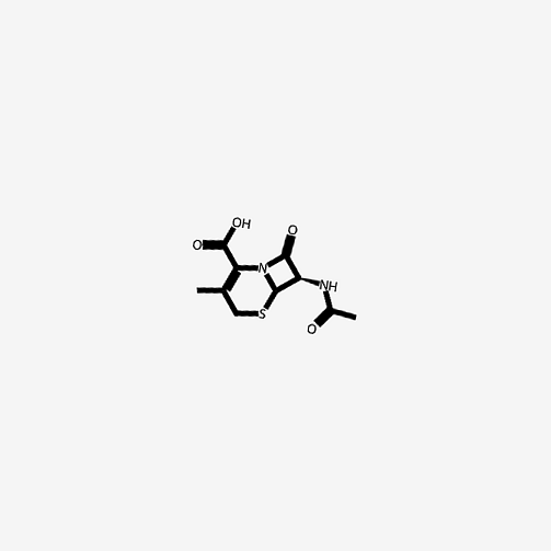 CC(=O)N[C@@H]1C(=O)N2C(C(=O)O)=C(C)CSC12